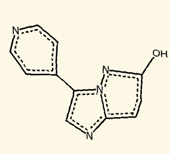 Oc1ccc2ncc(-c3ccncc3)n2n1